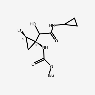 CC[C@@H]1C[C@@]1(NC(=O)OC(C)(C)C)C(O)C(=O)NC1CC1